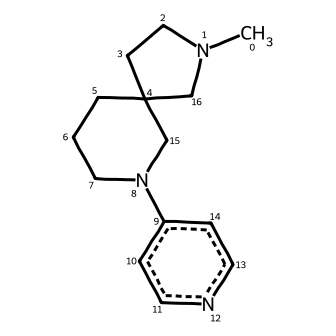 CN1CCC2(CCCN(c3ccncc3)C2)C1